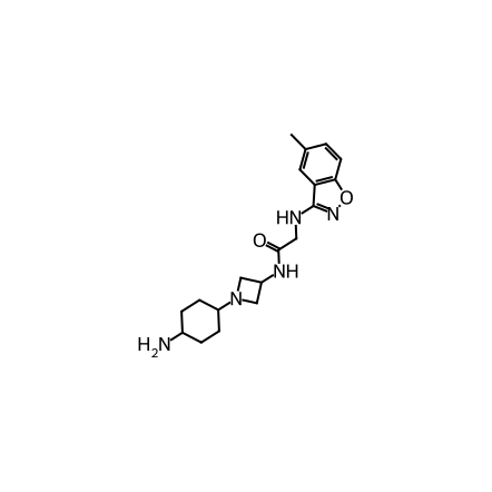 Cc1ccc2onc(NCC(=O)NC3CN(C4CCC(N)CC4)C3)c2c1